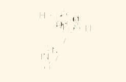 C[PH](=O)OP(=O)(C/C=C\Cn1ccc(=O)[nH]c1=O)O[PH](C)=O